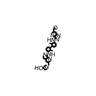 Cc1c(Nc2nccc3cc(CN4CC[C@@H](O)C4)cnc23)cccc1-c1cccc(Nc2ncnc3cc(C=O)cnc23)c1C